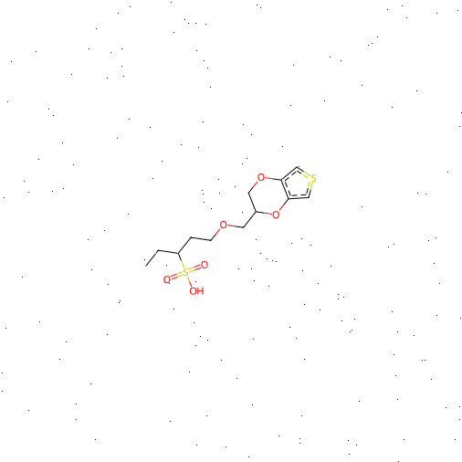 CCC(CCOCC1COc2cscc2O1)S(=O)(=O)O